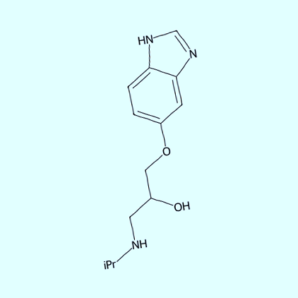 CC(C)NCC(O)COc1ccc2[nH]cnc2c1